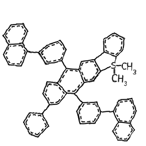 CS1(C)c2ccccc2-c2cc3c(-c4cccc(-c5cccc6ccccc56)c4)c4ccc(-c5ccccc5)cc4c(-c4cccc(-c5cccc6ccccc56)c4)c3cc21